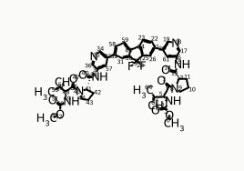 COC(=O)NC(C(=O)N1CCC[C@H]1C(=O)Nc1cncc(-c2ccc3c(c2)C(F)(F)c2cc(-c4cncc(NC(=O)[C@@H]5CCCN5C(=O)[C@@H](NC(=O)OC)C(C)C)c4)ccc2-3)c1)C(C)C